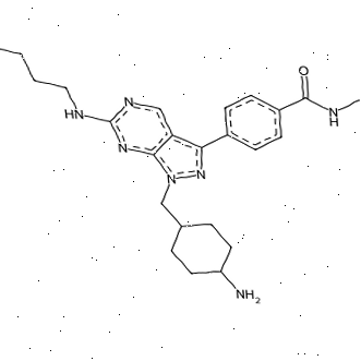 CCCCNc1ncc2c(-c3ccc(C(=O)NC)cc3)nn(CC3CCC(N)CC3)c2n1